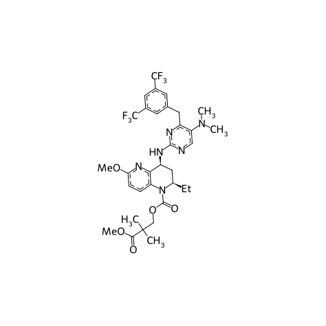 CC[C@@H]1C[C@H](Nc2ncc(N(C)C)c(Cc3cc(C(F)(F)F)cc(C(F)(F)F)c3)n2)c2nc(OC)ccc2N1C(=O)OCC(C)(C)C(=O)OC